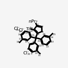 CCCC1=CCC(C(c2cccc(C)c2)(c2cccc(C)c2)c2cccc(C)c2)=[C]1[Ti+3].[Cl-].[Cl-].[Cl-]